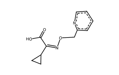 O=C(O)/C(=N\OCc1ccccn1)C1CC1